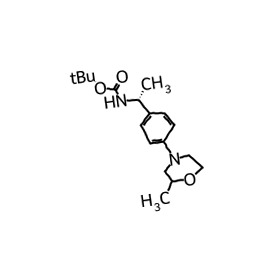 CC1CN(c2ccc([C@@H](C)NC(=O)OC(C)(C)C)cc2)CCO1